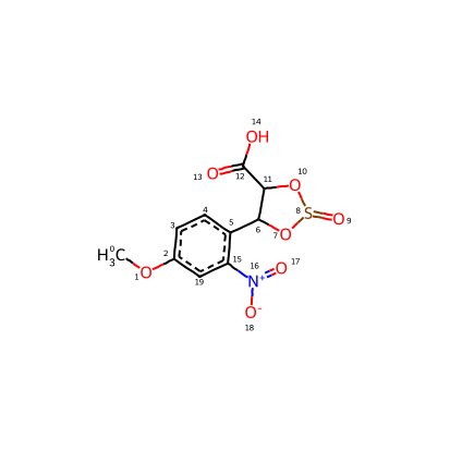 COc1ccc(C2OS(=O)OC2C(=O)O)c([N+](=O)[O-])c1